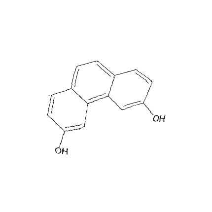 Oc1c[c]c2ccc3ccc(O)cc3c2c1